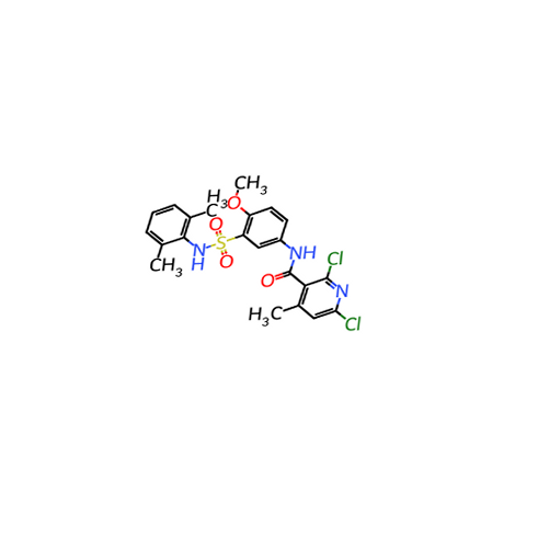 COc1ccc(NC(=O)c2c(C)cc(Cl)nc2Cl)cc1S(=O)(=O)Nc1c(C)cccc1C